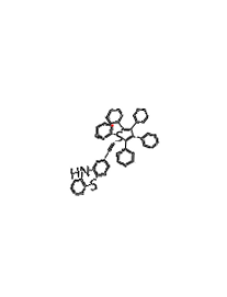 C(#CS1(c2ccccc2)C(c2ccccc2)=C(c2ccccc2)C(c2ccccc2)=C1c1ccccc1)c1ccc2c(c1)Nc1ccccc1S2